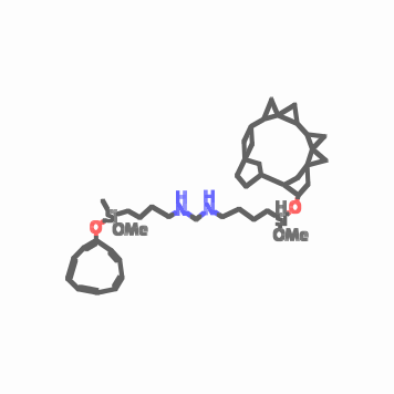 CO[SiH](CCCCNCNCCCC[Si](C)(OC)Oc1ccccccccc1)OC1CC23CC1C1CCC4(C1)CC(C4)C1CC14CC4C1CC12C3